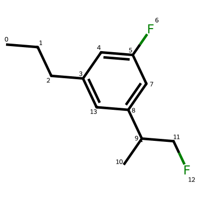 CCCc1cc(F)cc([C](C)CF)c1